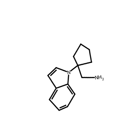 NCC1(n2ccc3ccccc32)CCCC1